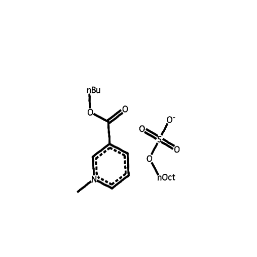 CCCCCCCCOS(=O)(=O)[O-].CCCCOC(=O)c1ccc[n+](C)c1